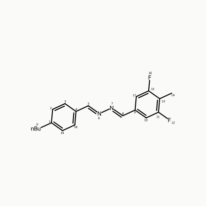 CCCCc1ccc(C=NN=Cc2cc(F)c(C)c(F)c2)cc1